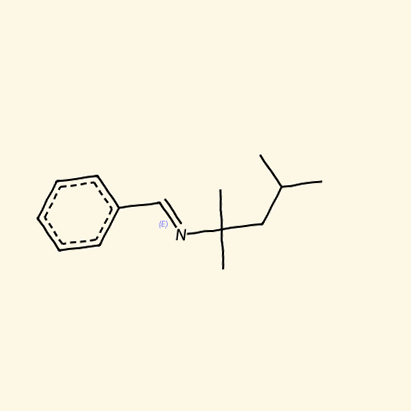 CC(C)CC(C)(C)/N=C/c1ccccc1